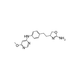 COc1cc(Nc2ccc(CCC3COC(N)=N3)cc2)ncn1